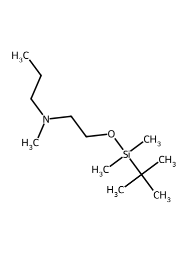 CCCN(C)CCO[Si](C)(C)C(C)(C)C